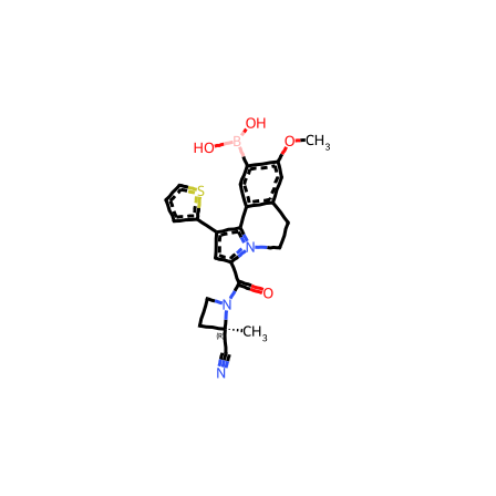 COc1cc2c(cc1B(O)O)-c1c(-c3cccs3)cc(C(=O)N3CC[C@]3(C)C#N)n1CC2